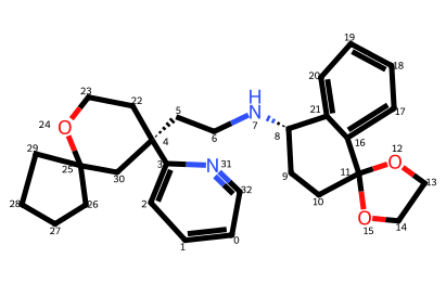 c1ccc([C@]2(CCN[C@H]3CCC4(OCCO4)c4ccccc43)CCOC3(CCCC3)C2)nc1